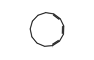 [C]1=CC=CC=CCCCCCCC1